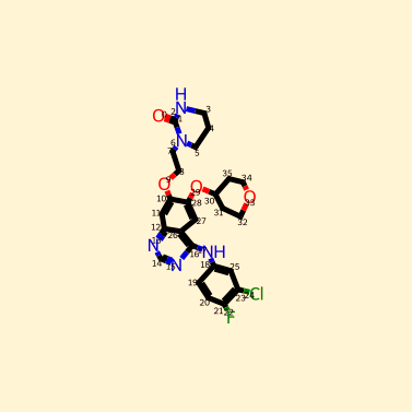 O=C1NCCCN1CCOc1cc2ncnc(Nc3ccc(F)c(Cl)c3)c2cc1OC1CCOCC1